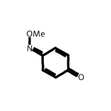 CON=C1C=CC(=O)C=C1